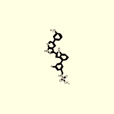 CS(=O)(=O)NCc1cc(F)cc(-c2cccc3[nH]c(-c4n[nH]c5ncc(-c6cc#cc(N)c6)cc45)cc23)c1